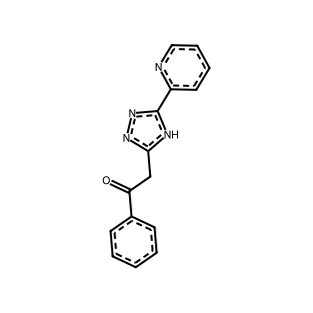 O=C(Cc1nnc(-c2ccccn2)[nH]1)c1ccccc1